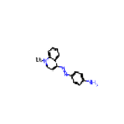 CC[n+]1ccc(/N=N/c2ccc(N)cc2)c2ccccc21